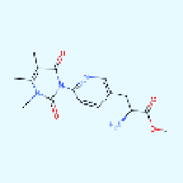 COC(=O)[C@@H](N)Cc1ccc(-n2c(=O)c(C)c(C)n(C)c2=O)nc1